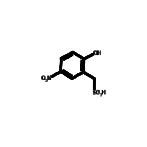 O=[N+]([O-])c1ccc(O)c(CS(=O)(=O)O)c1